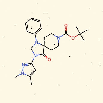 Cc1cc(N2CN(c3ccccc3)C3(CCN(C(=O)OC(C)(C)C)CC3)C2=O)nn1C